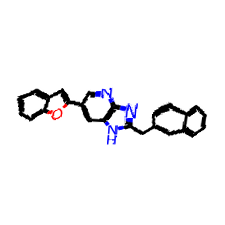 c1ccc2cc(Cc3nc4ncc(-c5cc6ccccc6o5)cc4[nH]3)ccc2c1